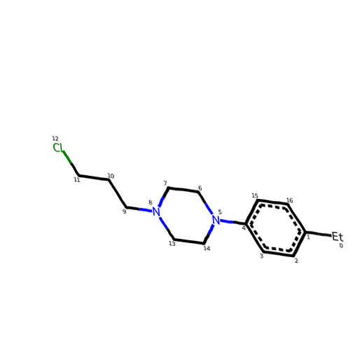 CCc1ccc(N2CCN(CCCCl)CC2)cc1